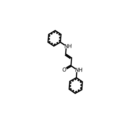 O=C(C=CNc1ccccc1)Nc1ccccc1